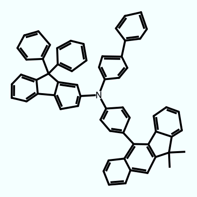 CC1(C)c2ccccc2-c2c1cc1ccccc1c2-c1ccc(N(c2ccc(-c3ccccc3)cc2)c2ccc3c(c2)C(c2ccccc2)(c2ccccc2)c2ccccc2-3)cc1